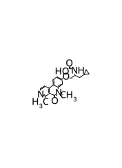 Cc1nccc2c1c(=O)n(C)c1cc(OCC(CC3CC3)NC(=O)O)ccc21